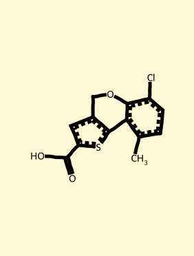 Cc1ccc(Cl)c2c1-c1sc(C(=O)O)cc1CO2